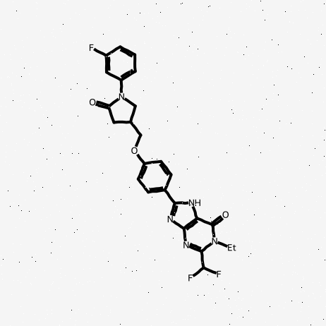 CCn1c(C(F)F)nc2nc(-c3ccc(OCC4CC(=O)N(c5cccc(F)c5)C4)cc3)[nH]c2c1=O